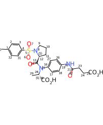 Cc1ccc(S(=O)(=O)N2CCC[C@H]2C(=O)N(c2ccc(NC(=O)CCC(=O)O)cc2)[C@@H](C)C(=O)O)cc1